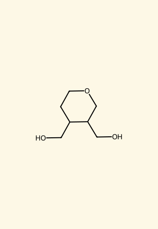 OCC1CCOCC1CO